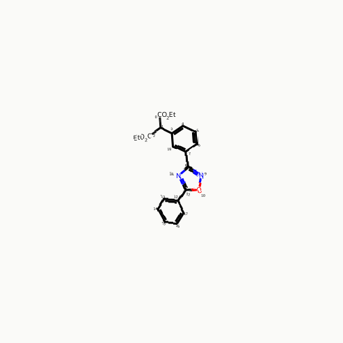 CCOC(=O)C(C(=O)OCC)c1cccc(-c2noc(-c3ccccc3)n2)c1